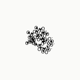 [O]=[W]1([O-])([O-])[O][W](=[O])([O-])([O-])[O][W]23(=[O])[O][W]4(=[O])([O]1)[O][W]15(=[O])[O][W]6(=[O])([O]2)[O][W]2(=[O])([O]3)[O][W](=[O])([O]6)([O]2)[O][W]2(=[O])([O]1)[O][W](=[O])([O]4)([O]5)[O]2